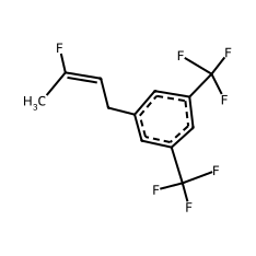 C/C(F)=C\Cc1cc(C(F)(F)F)cc(C(F)(F)F)c1